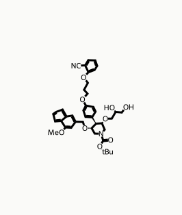 COc1cc(CO[C@H]2CN(C(=O)OC(C)(C)C)C[C@@H](OC[C@@H](O)CO)[C@@H]2c2ccc(OCCCOc3ccccc3C#N)cc2)cc2ccccc12